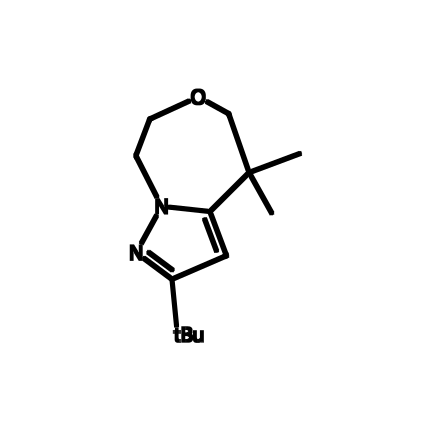 CC(C)(C)c1cc2n(n1)CCOCC2(C)C